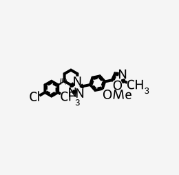 COc1cc(-c2nnc3n2CCC[C@@H]3c2ccc(Cl)cc2C(F)(F)F)ccc1-c1cnc(C)o1